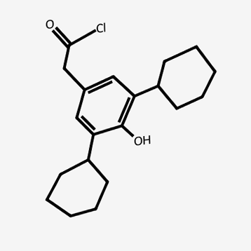 O=C(Cl)Cc1cc(C2CCCCC2)c(O)c(C2CCCCC2)c1